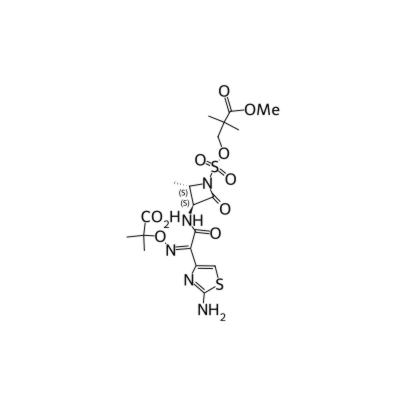 COC(=O)C(C)(C)COS(=O)(=O)N1C(=O)[C@@H](NC(=O)C(=NOC(C)(C)C(=O)O)c2csc(N)n2)[C@@H]1C